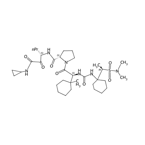 CCC[C@H](NC(=O)[C@@H]1CCCN1C(=O)[C@@H](NC(=O)NC1([C@@H](C)S(=O)(=O)N(C)C)CCCCC1)C1(C)CCCCC1)C(=O)C(=O)NC1CC1